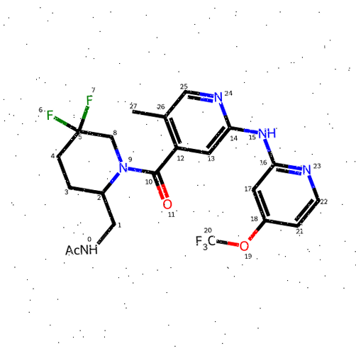 CC(=O)NCC1CCC(F)(F)CN1C(=O)c1cc(Nc2cc(OC(F)(F)F)ccn2)ncc1C